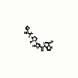 O=C(NC12CC(C1)C2)O[C@@H]1CC[C@H](c2cc(Nc3ncc(Br)n4nccc34)n[nH]2)[C@@H]1F